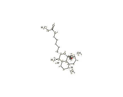 CSC(=O)OCCCCS[C@@H]1O[C@@H]2O[C@]3(C)CC[C@H]4[C@H](C)CC[C@@H]([C@H]1C)[C@@]24OO3